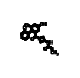 C=CC(=O)NC1CN(C(=O)c2cc(O)cc(Cl)c2-c2ccccc2Cl)C1